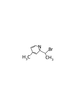 Cc1ccnc(C(C)Br)c1